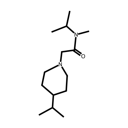 CC(C)C1CCN(CC(=O)N(C)C(C)C)CC1